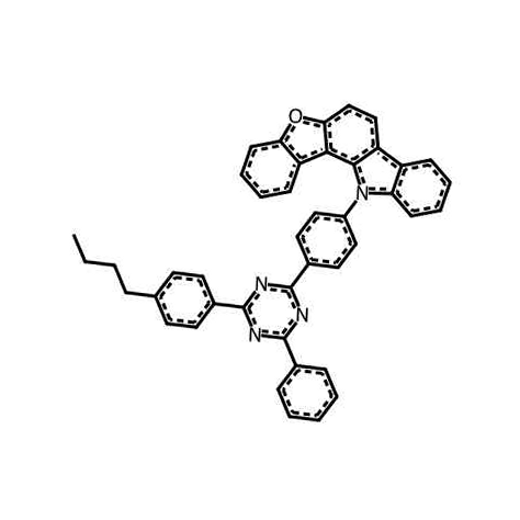 CCCCc1ccc(-c2nc(-c3ccccc3)nc(-c3ccc(-n4c5ccccc5c5ccc6oc7ccccc7c6c54)cc3)n2)cc1